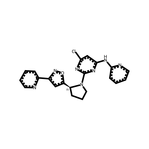 Clc1cc(Nc2ccccn2)nc(N2CCC[C@H]2c2cc(-c3ccccn3)no2)n1